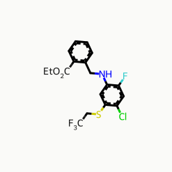 CCOC(=O)c1ccccc1CNc1cc(SCC(F)(F)F)c(Cl)cc1F